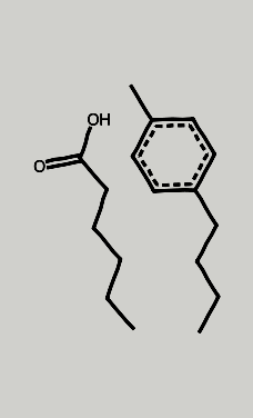 CCCCCC(=O)O.CCCCc1ccc(C)cc1